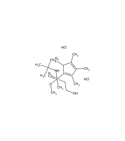 Cl.Cl.[CH2]=[Zr]([CH3])([CH2]CO)([NH]C(C)(C)C)([O]C)[C]1=C(C)C(C)=C(C)C1C